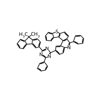 CC1(C)c2ccccc2-c2cc(-c3nc(-c4ccccc4)nc(-c4ccc5nc(-c6ccccc6)c6ccc7sc8ccccc8c7c6c5c4)n3)ccc21